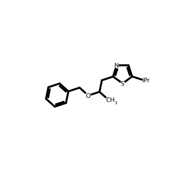 CC(Cc1ncc(C(C)C)s1)OCc1ccccc1